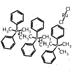 CP(C)(C)(c1ccccc1)c1ccccc1.CP(C)(C)(c1ccccc1)c1ccccc1.CP(C)(C)(c1ccccc1)c1ccccc1.[Cl][Ru][Cl]